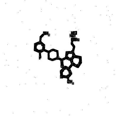 COCCn1cc(C(=O)N2CCC(c3cc(CN)ccc3F)CC2)c2c(-c3ccnc(C)c3)cccc21.Cl.Cl